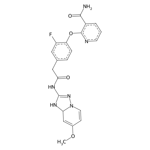 COC1=CC2NC(NC(=O)Cc3ccc(Oc4ncccc4C(N)=O)c(F)c3)=NN2C=C1